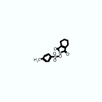 Cc1ccc(S(=O)(=O)ON2C(=O)C3=C(CCCC3)C2=O)cc1